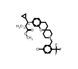 COC(=O)[C@H](C)[C@H](c1ccc2c(c1)OC1(CC2)CCN(Cc2cc(Cl)ccc2C(F)(F)F)CC1)C1CC1